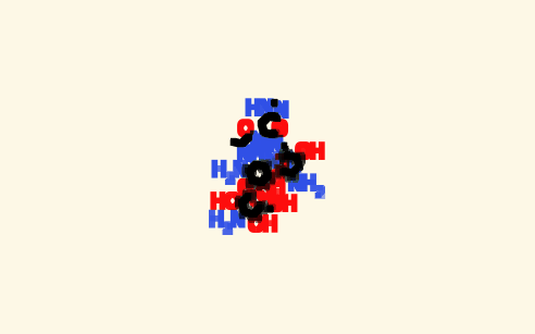 CC(N)C(=O)NC(Cc1cnc[nH]1)C(=O)NC[C@H]1O[C@H](O[C@H]2[C@H](O)[C@@H](O[C@H]3O[C@H](CO)[C@@H](O)[C@H](N)[C@H]3O)[C@H](N)C[C@@H]2N)[C@H](N)C[C@@H]1O